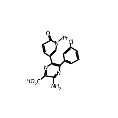 CC(C)n1cc(-c2nc(C(=O)O)c(N)nc2-c2cccc(Cl)c2)ccc1=O